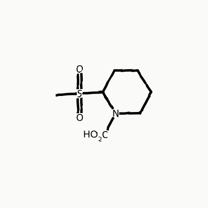 CS(=O)(=O)C1CCCCN1C(=O)O